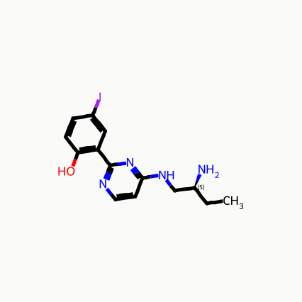 CC[C@H](N)CNc1ccnc(-c2cc(I)ccc2O)n1